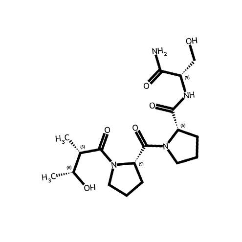 C[C@H](C(=O)N1CCC[C@H]1C(=O)N1CCC[C@H]1C(=O)N[C@@H](CO)C(N)=O)[C@@H](C)O